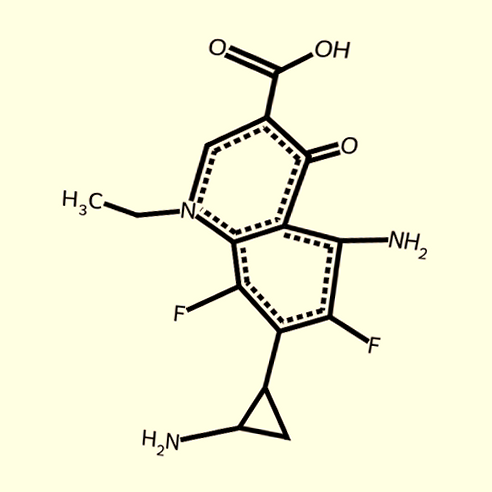 CCn1cc(C(=O)O)c(=O)c2c(N)c(F)c(C3CC3N)c(F)c21